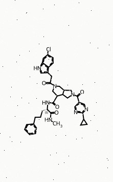 CNC(=O)[C@H](CCCc1ccccc1)NC(=O)C1CN(C(=O)Cc2c[nH]c3cc(Cl)ccc23)CC2CN(C(=O)c3cnc(C4CC4)nc3)CC21